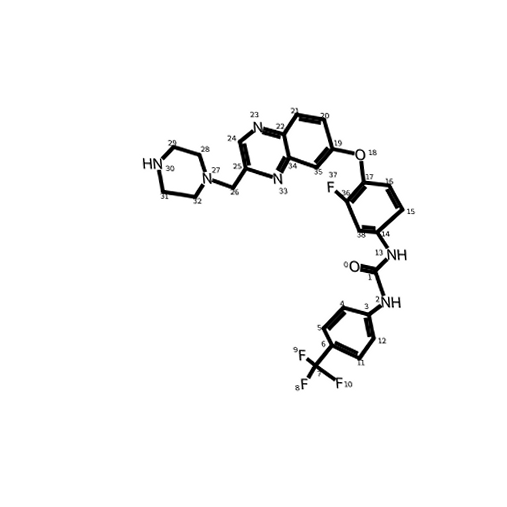 O=C(Nc1ccc(C(F)(F)F)cc1)Nc1ccc(Oc2ccc3ncc(CN4CCNCC4)nc3c2)c(F)c1